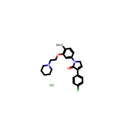 COc1ccc(N2CC=C(c3ccc(F)cc3)C2=O)cc1OCCN1CCCCC1.Cl